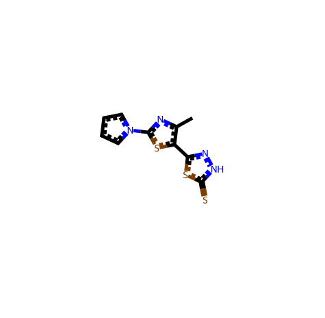 Cc1nc(-n2cccc2)sc1-c1n[nH]c(=S)s1